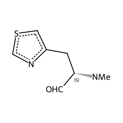 CN[C@H](C=O)Cc1cscn1